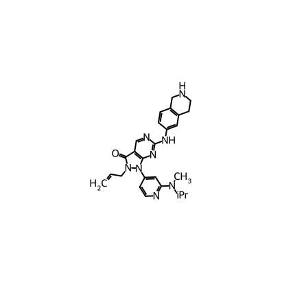 C=CCn1c(=O)c2cnc(Nc3ccc4c(c3)CCNC4)nc2n1-c1ccnc(N(C)C(C)C)c1